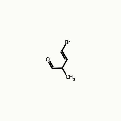 CC(C=O)C=CBr